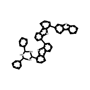 c1ccc(C2NC(c3ccccc3)NC(c3cccc4c3sc3c(-c5cccc6c5oc5c(-c7ccc8c(c7)oc7ccccc78)cccc56)cccc34)N2)cc1